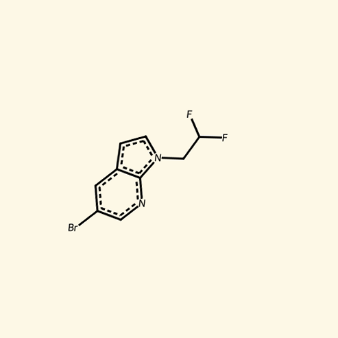 FC(F)Cn1ccc2cc(Br)cnc21